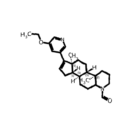 CCOc1cncc(C2=CC[C@H]3[C@@H]4CCC5N(C=O)CCC[C@]5(C)[C@H]4CC[C@]23C)c1